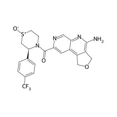 Nc1nc2cnc(C(=O)N3CC[S+]([O-])C[C@@H]3c3ccc(C(F)(F)F)cc3)cc2c2c1COC2